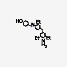 CCc1cc(Cc2cc(CC)c(N)c(CC)c2)ccc1/N=C/c1ccc(O)cc1